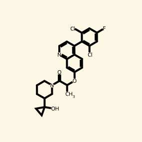 CC(Oc1ccc2c(-c3c(Cl)cc(F)cc3Cl)ccnc2c1)C(=O)N1CCCC(C2(O)CC2)C1